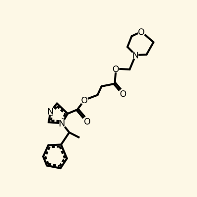 CC(c1ccccc1)n1cncc1C(=O)OCCC(=O)OCN1CCOCC1